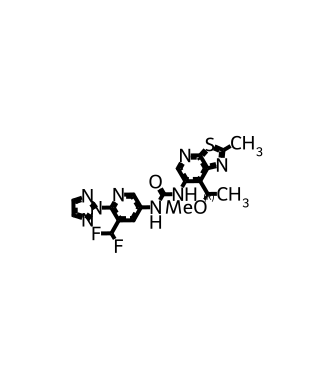 CO[C@H](C)c1c(NC(=O)Nc2cnc(-n3nccn3)c(C(F)F)c2)cnc2sc(C)nc12